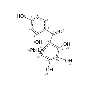 O=C(c1ccc(O)cc1O)c1ccc(O)c(O)c1O.[PbH2]